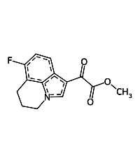 COC(=O)C(=O)c1cn2c3c(c(F)ccc13)CCC2